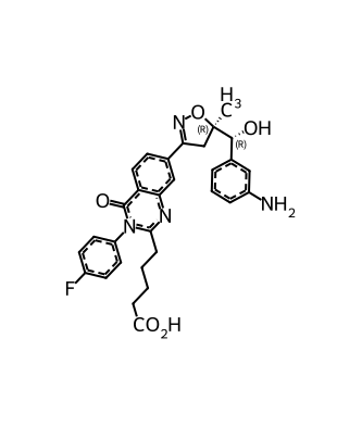 C[C@]1([C@H](O)c2cccc(N)c2)CC(c2ccc3c(=O)n(-c4ccc(F)cc4)c(CCCCC(=O)O)nc3c2)=NO1